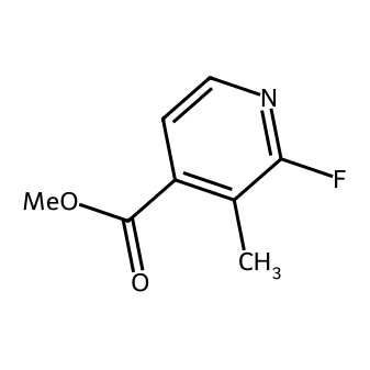 COC(=O)c1ccnc(F)c1C